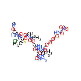 Cc1csc2c(OC(=O)N(C)CCN(C)C(=O)OCc3ccc(NC(=O)[C@H](CCCNC(N)=O)NC(=O)[C@@H](NC(=O)CCOCCOCCOCCOCCNC(=O)CCN4C(=O)C=CC4=O)C(C)C)cc3)cc3c(c12)[C@@H](CCl)CN3C(=O)c1cc2cc(OCCN3CCCC3)ccc2[nH]1